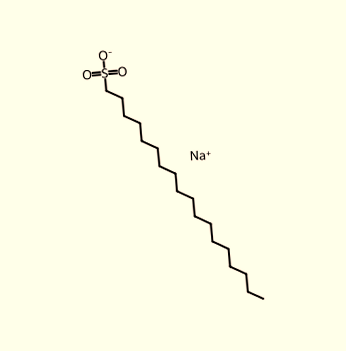 CCCCCCCCCCCCCCCCCCS(=O)(=O)[O-].[Na+]